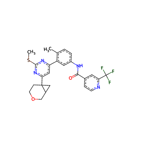 CSc1nc(-c2cc(NC(=O)c3ccnc(C(F)(F)F)c3)ccc2C)cc(C23CCOCC2C3)n1